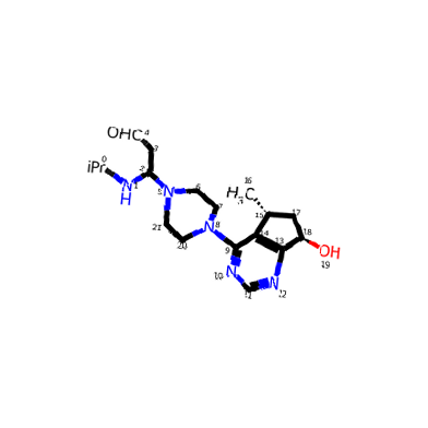 CC(C)NC(CC=O)N1CCN(c2ncnc3c2[C@H](C)C[C@H]3O)CC1